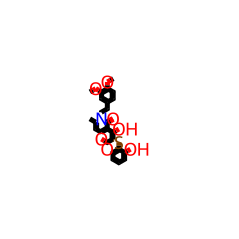 COc1ccc(CCn2c(C)cc3oc(=O)c(Sc4ccccc4O)c(O)c3c2=O)cc1OC